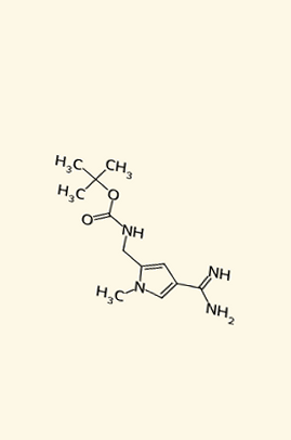 Cn1cc(C(=N)N)cc1CNC(=O)OC(C)(C)C